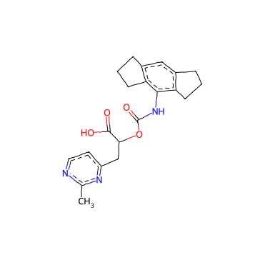 Cc1nccc(CC(OC(=O)Nc2c3c(cc4c2CCC4)CCC3)C(=O)O)n1